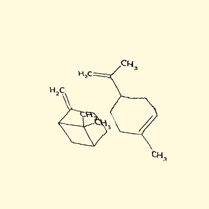 C=C(C)C1CC=C(C)CC1.C=C1CCC2CC1C2(C)C